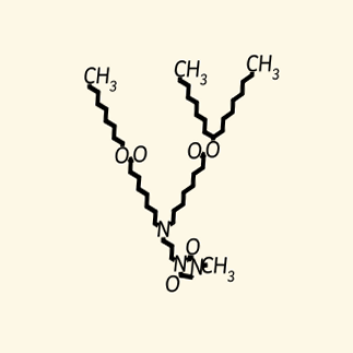 CCCCCCCCCOC(=O)CCCCCCCN(CCCCCCCC(=O)OC(CCCCCCCC)CCCCCCCC)CCCN1C(=O)CN(C)C1=O